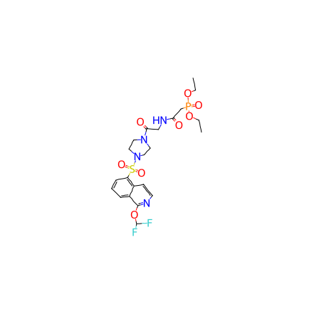 CCOP(=O)(CC(=O)NCC(=O)N1CCN(S(=O)(=O)c2cccc3c(OC(F)F)nccc23)CC1)OCC